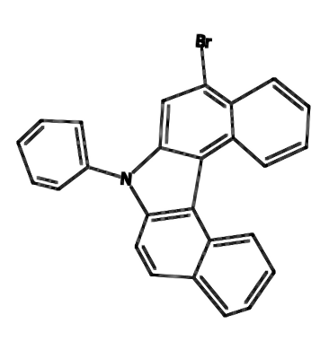 Brc1cc2c(c3ccccc13)c1c3ccccc3ccc1n2-c1ccccc1